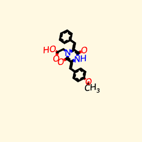 COc1ccc(C=c2[nH]c(=O)c(=Cc3ccccc3)n(CC(=O)O)c2=O)cc1